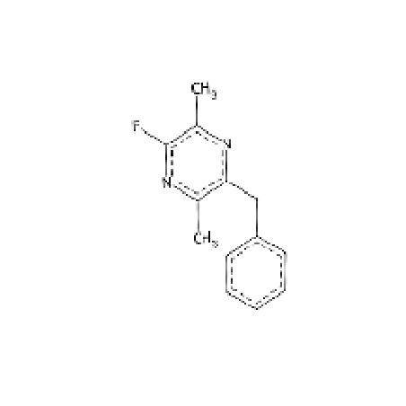 Cc1nc(Cc2ccccc2)c(C)nc1F